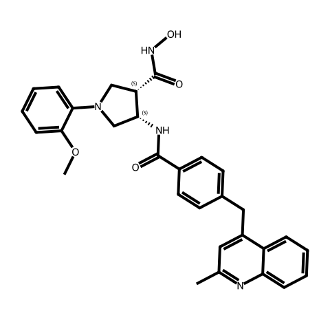 COc1ccccc1N1C[C@H](C(=O)NO)[C@H](NC(=O)c2ccc(Cc3cc(C)nc4ccccc34)cc2)C1